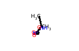 CCCCCCCCCC(C)NC(=O)C=Cc1cccc([N+](=O)[O-])c1